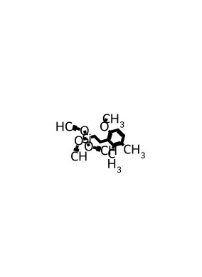 C#CO[Si](CCc1c(OC)ccc(C)c1C)(OC#C)OC#C